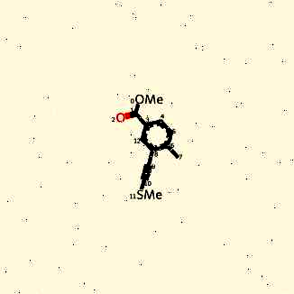 COC(=O)c1ccc(C)c(C#CSC)c1